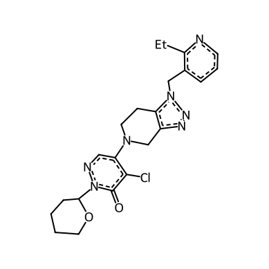 CCc1ncccc1Cn1nnc2c1CCN(c1cnn(C3CCCCO3)c(=O)c1Cl)C2